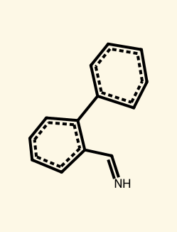 N=Cc1ccccc1-c1ccccc1